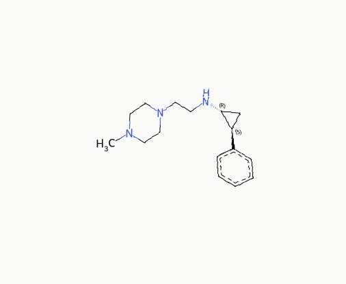 CN1CCN(CCN[C@@H]2C[C@H]2c2ccccc2)CC1